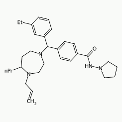 C=CCN1CCN(C(c2ccc(C(=O)NN3CCCC3)cc2)c2cccc(CC)c2)CCC1CCC